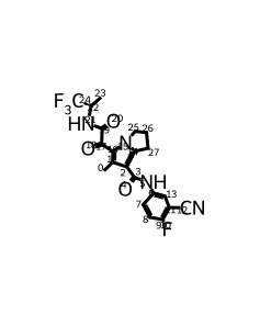 Cc1c(C(=O)Nc2ccc(F)c(C#N)c2)c2n(c1C(=O)C(=O)N[C@H](C)C(F)(F)F)CCC2